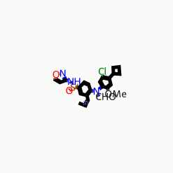 C/C=C\c1cc([S+]([O-])Nc2ccon2)ccc1N(C=O)c1cc(Cl)c(C2CCC2)cc1OC